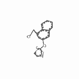 ClCc1cc(Oc2nccs2)cc2ccccc12